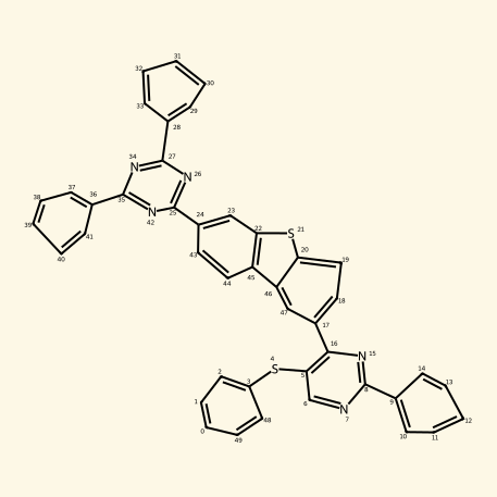 c1ccc(Sc2cnc(-c3ccccc3)nc2-c2ccc3sc4cc(-c5nc(-c6ccccc6)nc(-c6ccccc6)n5)ccc4c3c2)cc1